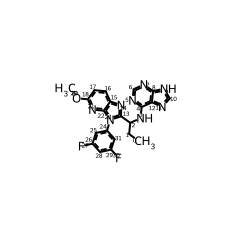 CCC(Nc1ncnc2[nH]cnc12)c1nc2ccc(OC)nc2n1-c1cc(F)cc(F)c1